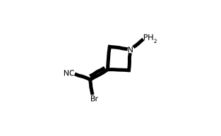 N#CC(Br)=C1CN(P)C1